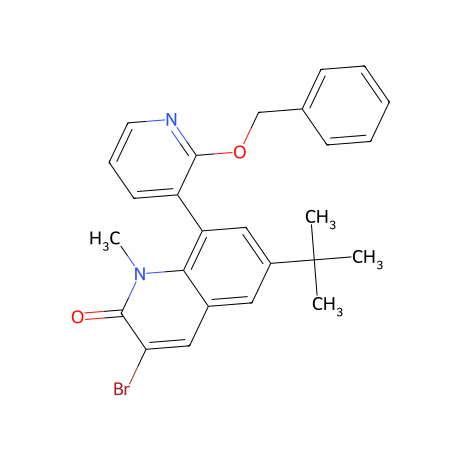 Cn1c(=O)c(Br)cc2cc(C(C)(C)C)cc(-c3cccnc3OCc3ccccc3)c21